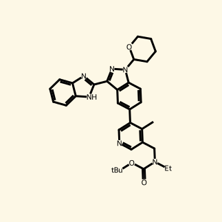 CCN(Cc1cncc(-c2ccc3c(c2)c(-c2nc4ccccc4[nH]2)nn3C2CCCCO2)c1C)C(=O)OC(C)(C)C